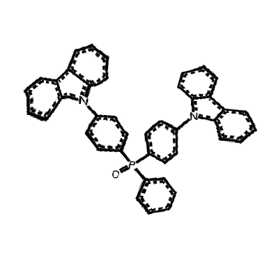 O=P(c1ccccc1)(c1ccc(-n2c3ccccc3c3ccccc32)cc1)c1ccc(-n2c3ccccc3c3ccccc32)cc1